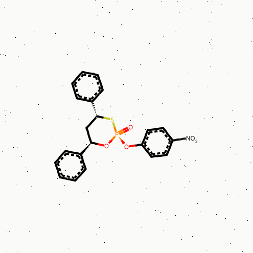 O=[N+]([O-])c1ccc(O[P@@]2(=O)O[C@@H](c3ccccc3)C[C@H](c3ccccc3)S2)cc1